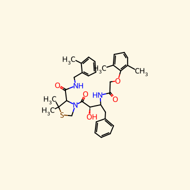 Cc1ccccc1CNC(=O)C1N(C(=O)[C@H](O)C(Cc2ccccc2)NC(=O)COc2c(C)cccc2C)CSC1(C)C